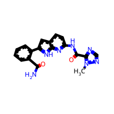 Cn1ncnc1C(=O)Nc1ccc2cc(-c3ccccc3C(N)=O)[nH]c2n1